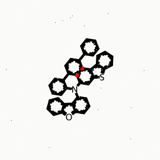 c1ccc(-c2ccc(-c3ccccc3N(c3ccc4c(c3)sc3ccccc34)c3cccc4oc5ccccc5c34)cc2)cc1